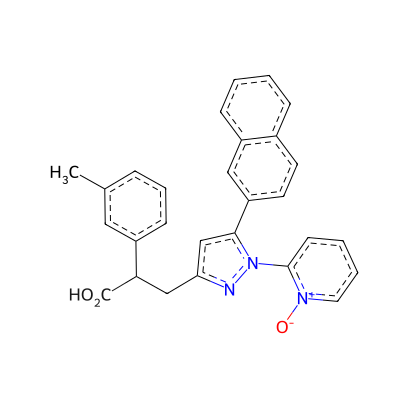 Cc1cccc(C(Cc2cc(-c3ccc4ccccc4c3)n(-c3cccc[n+]3[O-])n2)C(=O)O)c1